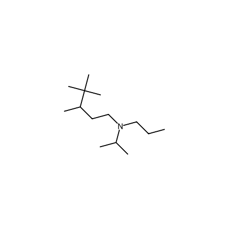 CCCN(CCC(C)C(C)(C)C)C(C)C